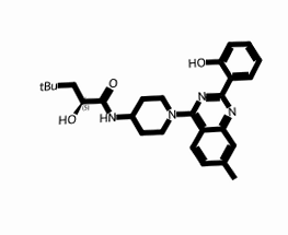 Cc1ccc2c(N3CCC(NC(=O)[C@@H](O)CC(C)(C)C)CC3)nc(-c3ccccc3O)nc2c1